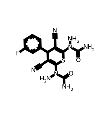 N#CC1=C(N(N)C(N)=O)SC(N(N)C(N)=O)=C(C#N)C1c1cccc(F)c1